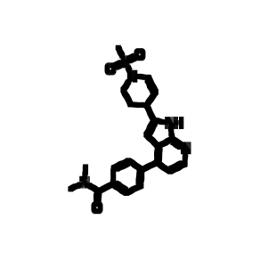 CN(C)C(=O)c1ccc(-c2ccnc3[nH]c(C4C=CN(S(C)(=O)=O)CC4)cc23)cc1